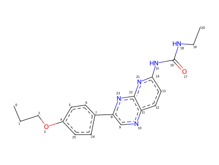 CCCOc1ccc(-c2cnc3ccc(NC(=O)NCC)nc3n2)cc1